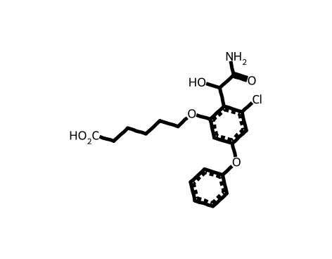 NC(=O)C(O)c1c(Cl)cc(Oc2ccccc2)cc1OCCCCCC(=O)O